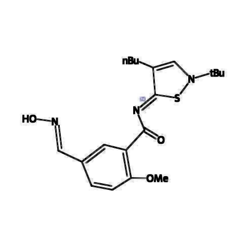 CCCCc1cn(C(C)(C)C)s/c1=N\C(=O)c1cc(C=NO)ccc1OC